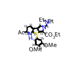 CCOC(=O)c1c2c(cn1CN(CC)CC)C1=CCC(C(C)=O)NC1=S2c1ccc(OC)c(OC)c1